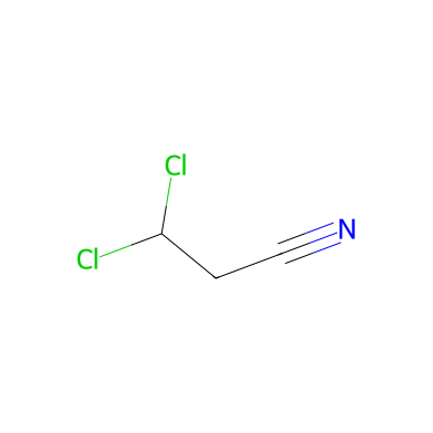 N#CCC(Cl)Cl